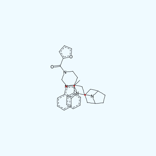 Cc1nc2ccccc2n1C1CC2CCC(C1)N2CCC1(c2ccccc2)CCN(C(=O)c2ccco2)CC1